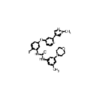 Cc1cc(NC(=O)Nc2cc(Oc3ccnc(-c4cnn(C)c4)c3)ccc2F)cc(N2CCOCC2)c1